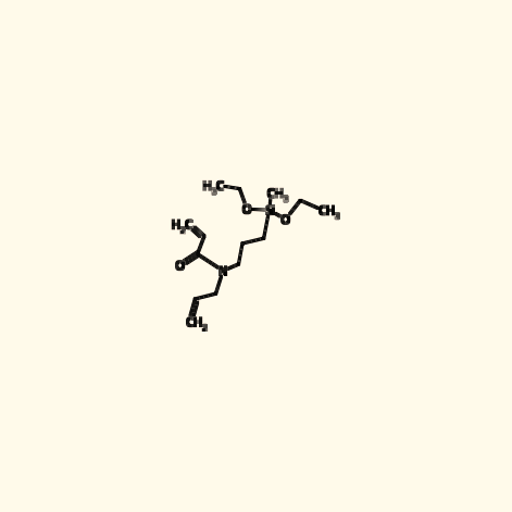 C=CCN(CCC[Si](C)(OCC)OCC)C(=O)C=C